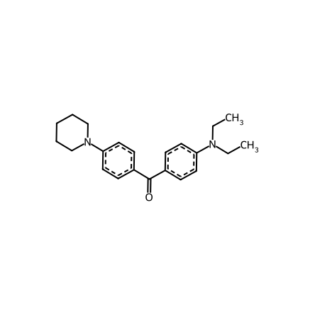 CCN(CC)c1ccc(C(=O)c2ccc(N3CCCCC3)cc2)cc1